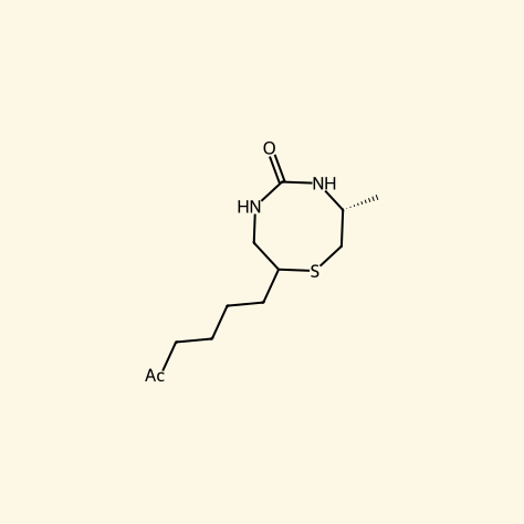 CC(=O)CCCCC1CNC(=O)N[C@H](C)CS1